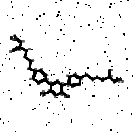 C=CC(=O)OCCCc1ccc(-c2cc(-c3ccc(CCCOC(=O)C=C)cc3)c(C(F)(F)F)cc2CC)cc1